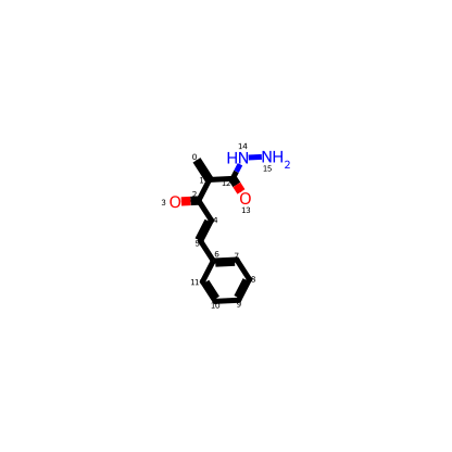 C=C(C(=O)C=Cc1ccccc1)C(=O)NN